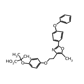 Cc1oc(-c2ccc(Oc3ccccc3)cc2)nc1CCOc1ccc(OC(C)(C)C(=O)O)cc1